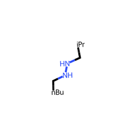 CCCCCNNCC(C)C